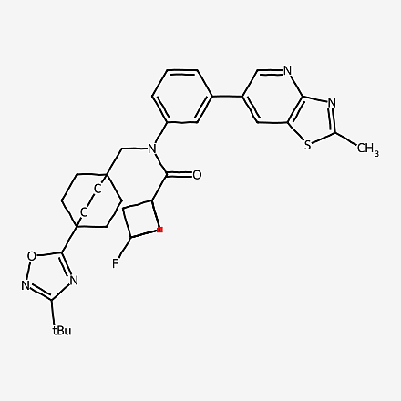 Cc1nc2ncc(-c3cccc(N(CC45CCC(c6nc(C(C)(C)C)no6)(CC4)CC5)C(=O)C45CC(F)(C4)C5)c3)cc2s1